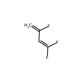 C=C(F)C=C(F)F